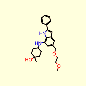 COCCOCc1cc(NC2CCC(C)(O)CC2)c2[nH]c(-c3ccccc3)cc2c1